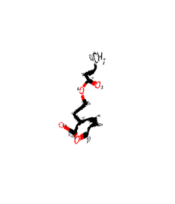 C=CC(=O)OCCc1cccoc1=O